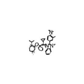 Cc1cc(-c2n([C@@H](C(=O)O[C@@H]3C[C@H](C)CC[C@H]3C(C)C)C3CC3)c3ccccc3[n+]2C)ccc1N(C)C